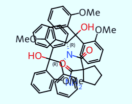 COc1ccccc1C(O)(c1ccccc1OC)[C@@H](c1ccccc1)N(C(=O)C1(C(N)=O)CCCC1)[C@H](c1ccccc1)C(O)(c1ccccc1OC)c1ccccc1OC